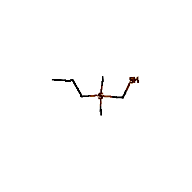 CCCS(C)(C)CS